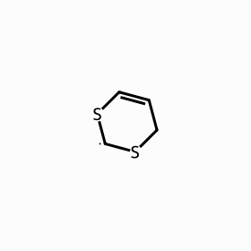 [CH]1SC=CCS1